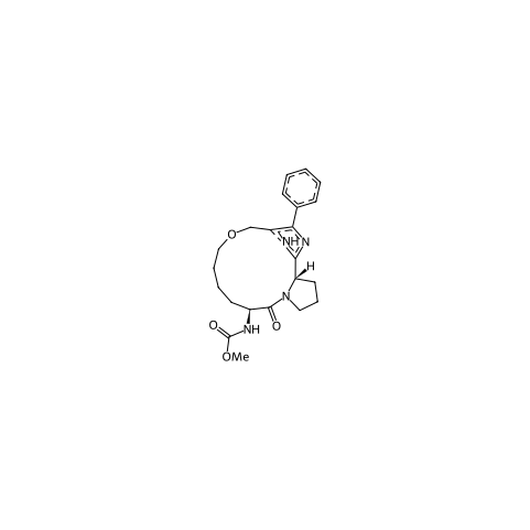 COC(=O)N[C@H]1CCCCOCc2[nH]c(nc2-c2ccccc2)[C@@H]2CCCN2C1=O